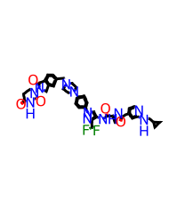 O=C1CCN(N2Cc3cc(CN4CCN(c5ccc(-n6cc(NC(=O)c7coc(-c8ccnc(NCC9CC9)c8)n7)c(C(F)F)n6)cc5)CC4)ccc3C2=O)C(=O)N1